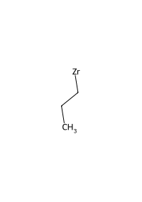 CC[CH2][Zr]